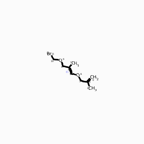 C=C(C)CO/C=C(\C)COCBr